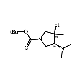 CC[C@]1(C)CN(C(=O)OC(C)(C)C)C[C@@H]1N(C)C